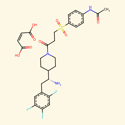 CC(=O)Nc1ccc(S(=O)(=O)CCC(=O)N2CCC([C@H](N)Cc3cc(F)c(F)cc3F)CC2)cc1.O=C(O)/C=C\C(=O)O